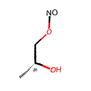 C[C@@H](O)CON=O